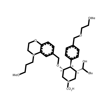 COCCCN1CCOc2ccc(CO[C@H]3CN(C(=O)O)C[C@@H](C(O)C(C)(C)C)[C@@H]3c3ccc(COCCOC)cc3)cc21